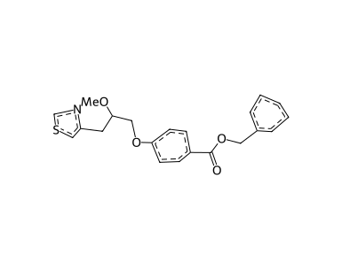 COC(COc1ccc(C(=O)OCc2ccccc2)cc1)Cc1cscn1